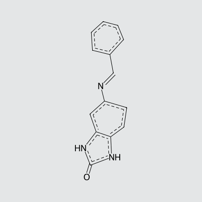 O=c1[nH]c2ccc(/N=C/c3ccccc3)cc2[nH]1